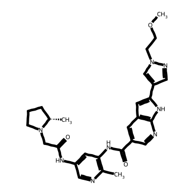 COCCn1cc(-c2cc3cc(C(=O)Nc4cc(NC(=O)CN5CCC[C@@H]5C)cnc4C)cnc3[nH]2)cn1